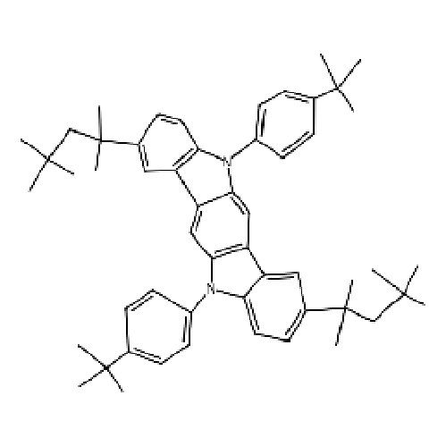 CC(C)(C)CC(C)(C)c1ccc2c(c1)c1cc3c(cc1n2-c1ccc(C(C)(C)C)cc1)c1cc(C(C)(C)CC(C)(C)C)ccc1n3-c1ccc(C(C)(C)C)cc1